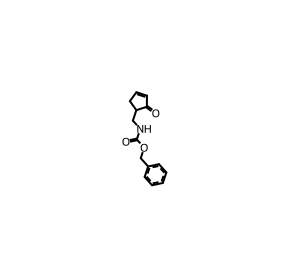 O=C(NCC1CC=CC1=O)OCc1ccccc1